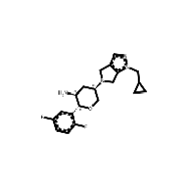 N[C@H]1C[C@@H](N2Cc3cnn(CC4CC4)c3C2)CO[C@@H]1c1cc(F)ccc1F